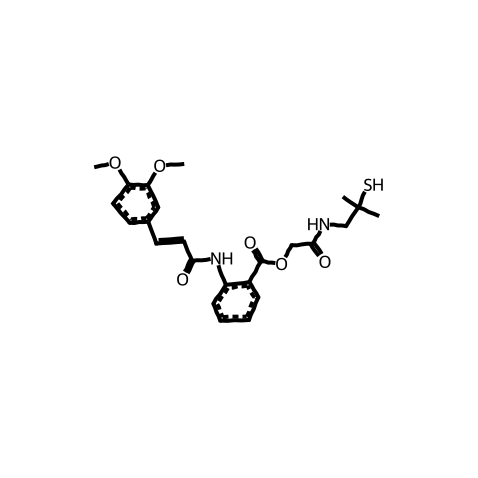 COc1ccc(/C=C/C(=O)Nc2ccccc2C(=O)OCC(=O)NCC(C)(C)S)cc1OC